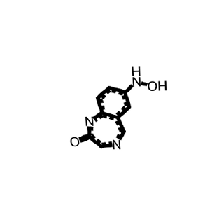 O=c1cncc2cc(NO)ccc2n1